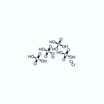 O=P(O)(O)O.[Cr].[Cr].[O]=[Cr](=[O])([OH])[OH].[O]=[Cr](=[O])([OH])[OH].[O]=[Cr](=[O])([OH])[OH]